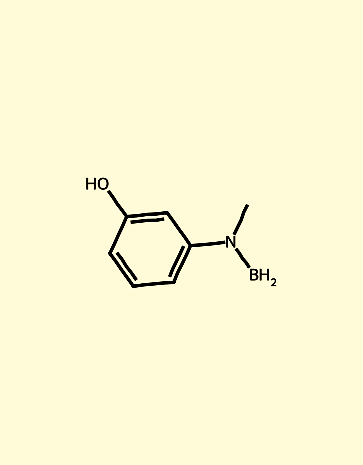 BN(C)c1cccc(O)c1